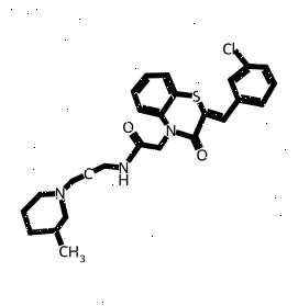 CC1CCCN(CCCNC(=O)CN2C(=O)C(=Cc3cccc(Cl)c3)Sc3ccccc32)C1